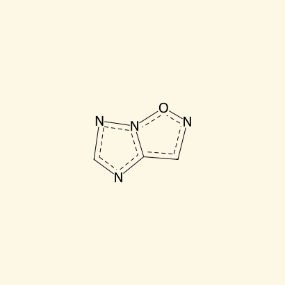 c1nc2cnon2n1